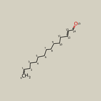 C=CCCCCCCCCCCC=CC=O